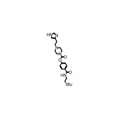 CC(C)(C)CCNC(=O)c1ccc(OC(=O)N2CCN(CCc3c[nH]cn3)CC2)cc1